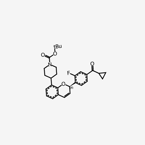 CC(C)(C)OC(=O)N1CCC(c2cccc3c2O[C@@H](c2ccc(C(=O)C4CC4)cc2F)C=C3)CC1